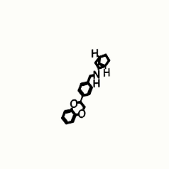 c1ccc2c(c1)OC[C@H](c1ccc(CN[C@@H]3C[C@H]4CC[C@@H]3C4)cc1)O2